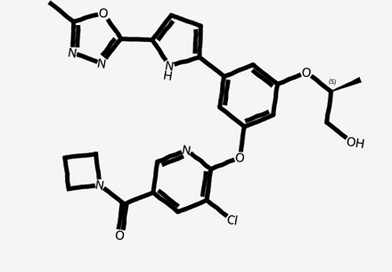 Cc1nnc(-c2ccc(-c3cc(Oc4ncc(C(=O)N5CCC5)cc4Cl)cc(O[C@@H](C)CO)c3)[nH]2)o1